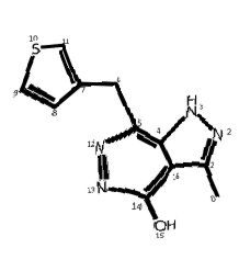 Cc1n[nH]c2c(Cc3ccsc3)nnc(O)c12